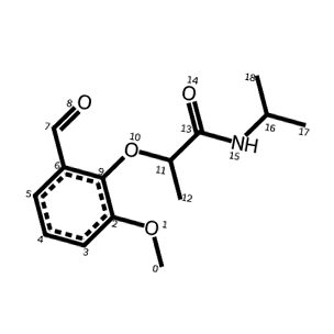 COc1cccc(C=O)c1OC(C)C(=O)NC(C)C